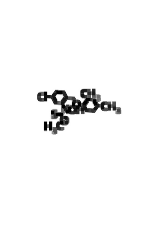 COC(=S)N(O)c1cc(Cl)ccc1COc1ccc(C)cc1C